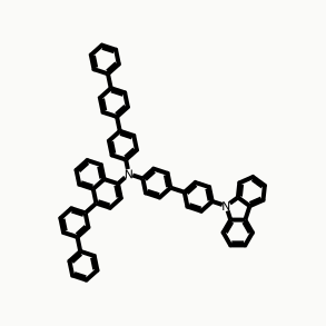 c1ccc(-c2ccc(-c3ccc(N(c4ccc(-c5ccc(-n6c7ccccc7c7ccccc76)cc5)cc4)c4ccc(-c5cccc(-c6ccccc6)c5)c5ccccc45)cc3)cc2)cc1